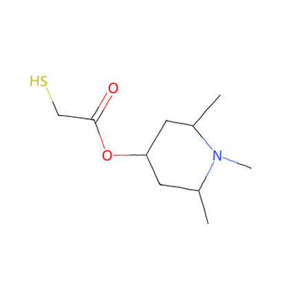 CC1CC(OC(=O)CS)CC(C)N1C